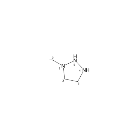 [CH2]N1CCNN1